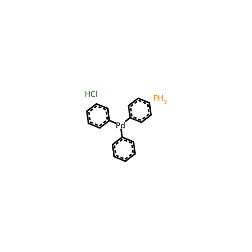 Cl.P.c1cc[c]([Pd]([c]2ccccc2)[c]2ccccc2)cc1